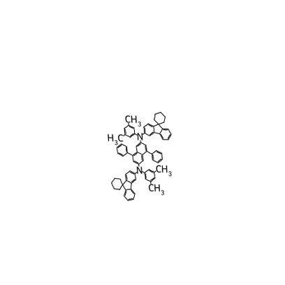 Cc1cc(C)cc(N(c2ccc3c(c2)-c2ccccc2C32CCCCC2)c2cc(-c3ccccc3)c3cc(N(c4cc(C)cc(C)c4)c4ccc5c(c4)-c4ccccc4C54CCCCC4)cc(-c4ccccc4)c3c2)c1